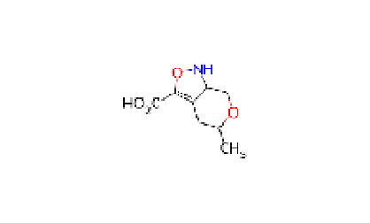 CC1CC2=C(C(=O)O)ONC2CO1